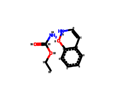 C1=Cc2ccccc2ON1.CCOC(N)=O